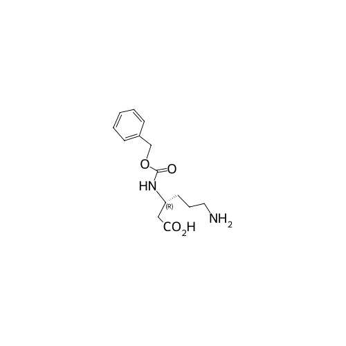 NCCC[C@H](CC(=O)O)NC(=O)OCc1ccccc1